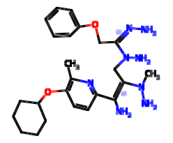 Cc1nc(/C(N)=C(\CN(N)/C(COc2ccccc2)=N\N)N(C)N)ccc1OC1CCCCC1